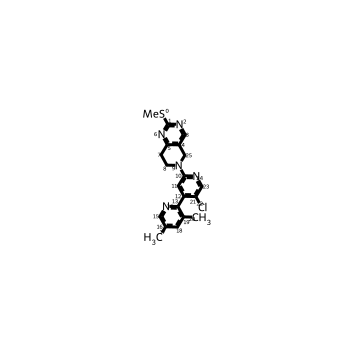 CSc1ncc2c(n1)CCN(c1cc(-c3ncc(C)cc3C)c(Cl)cn1)C2